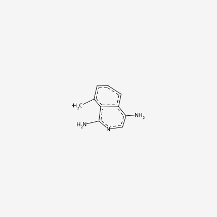 [CH2]c1cccc2c(N)cnc(N)c12